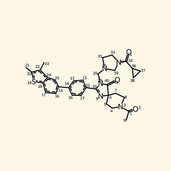 CC(=O)N1CCC2(CC1)N=C(c1ccc(-c3ccc4sc(C)c(C)c4c3)cc1)N(CN1CCN(C(=O)C3CC3)C1)C2=O